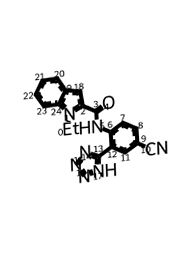 CCn1c(C(=O)Nc2ccc(C#N)cc2-c2nnn[nH]2)cc2ccccc21